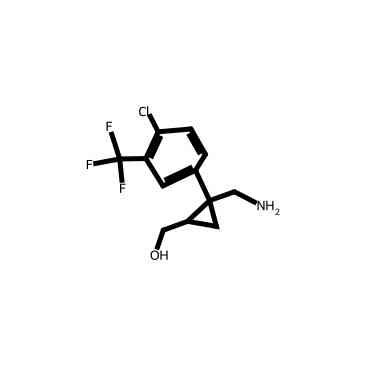 NCC1(c2ccc(Cl)c(C(F)(F)F)c2)CC1CO